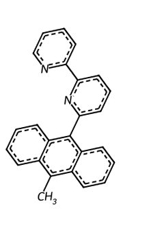 Cc1c2ccccc2c(-c2cccc(-c3ccccn3)n2)c2ccccc12